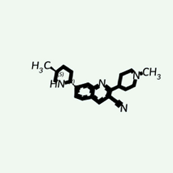 C[C@H]1CC[C@H](c2ccc3cc(C#N)c(C4CCN(C)CC4)nc3c2)NC1